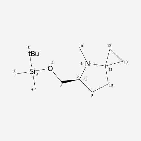 CN1[C@H](CO[Si](C)(C)C(C)(C)C)CCC12CC2